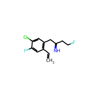 C=Cc1cc(F)c(Cl)cc1CC(=N)CCF